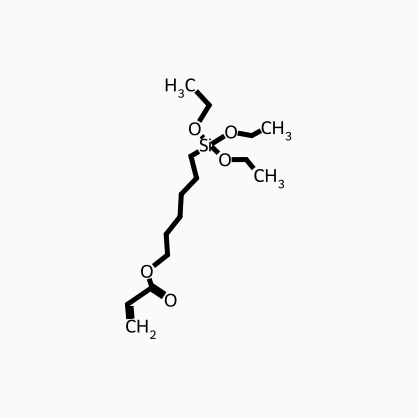 C=CC(=O)OCCCCCC[Si](OCC)(OCC)OCC